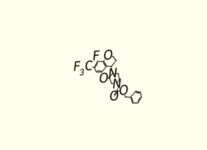 O=C(OCc1ccccc1)N1CCN(C2CCOc3c2ccc(C(F)(F)F)c3F)C(=O)C1